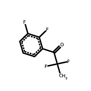 CC(F)(F)C(=O)c1cccc(F)c1F